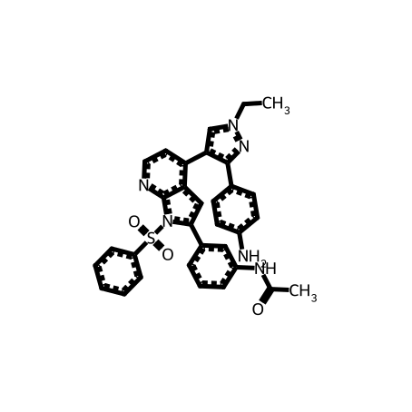 CCn1cc(-c2ccnc3c2cc(-c2cccc(NC(C)=O)c2)n3S(=O)(=O)c2ccccc2)c(-c2ccc(N)cc2)n1